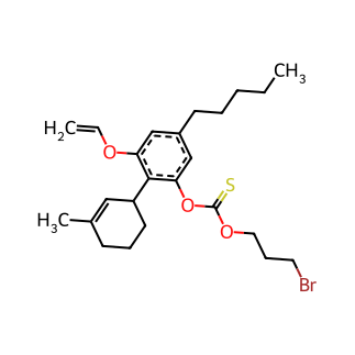 C=COc1cc(CCCCC)cc(OC(=S)OCCCBr)c1C1C=C(C)CCC1